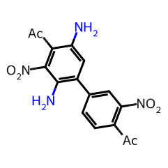 CC(=O)c1ccc(-c2cc(N)c(C(C)=O)c([N+](=O)[O-])c2N)cc1[N+](=O)[O-]